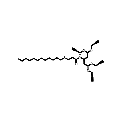 C#CCOC(CC(CC(OCC#C)OCC#C)NC(=O)CCSCCCCCCCCCCCC)OCC#C